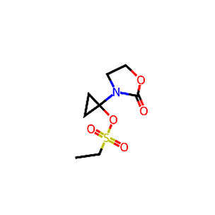 CCS(=O)(=O)OC1(N2CCOC2=O)CC1